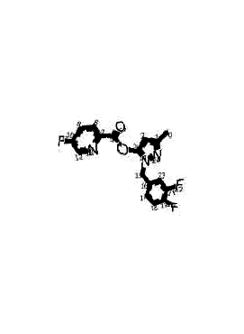 Cc1cc(OC(=O)c2ccc(F)cn2)n(Cc2ccc(F)c(F)c2)n1